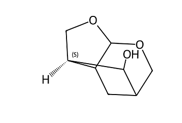 OC1C2COC3OC[C@@H]1C3C2